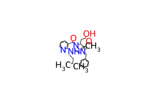 CC(C)CCNc1ncccc1C(=O)N1CCN(Cc2ccccc2)[C@H](C)C1CC(=O)O